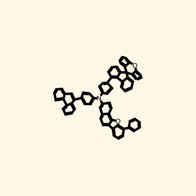 c1ccc(-c2cccc3c2oc2c4ccc(N(c5ccc(-c6cccc7c6-c6ccccc6C76c7ccccc7Oc7ccccc76)cc5)c5ccc(-c6cc7ccccc7c7ccccc67)cc5)cc4ccc32)cc1